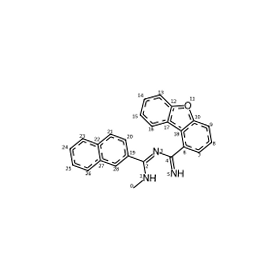 CN/C(=N\C(=N)c1cccc2oc3ccccc3c12)c1ccc2ccccc2c1